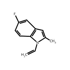 C=Cn1c(C)cc2cc(F)ccc21